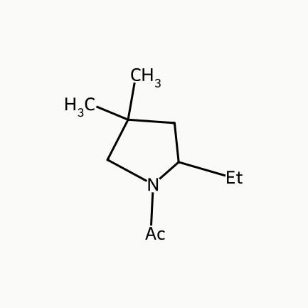 CCC1CC(C)(C)CN1C(C)=O